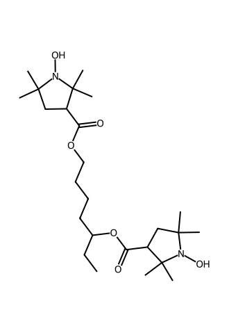 CCC(CCCCOC(=O)C1CC(C)(C)N(O)C1(C)C)OC(=O)C1CC(C)(C)N(O)C1(C)C